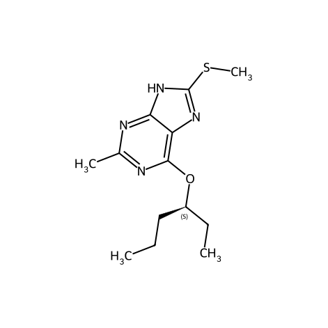 CCC[C@H](CC)Oc1nc(C)nc2[nH]c(SC)nc12